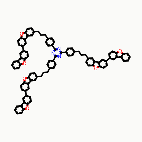 c1ccc2c(c1)oc1ccc(-c3ccc4oc5ccc(CCCc6ccc(-c7nc(-c8ccc(CCCc9ccc%10oc%11ccc(-c%12ccc%13oc%14ccccc%14c%13c%12)cc%11c%10c9)cc8)nc(-c8ccc(CCCc9ccc%10oc%11ccc(-c%12ccc%13oc%14ccccc%14c%13c%12)cc%11c%10c9)cc8)n7)cc6)cc5c4c3)cc12